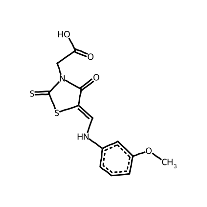 COc1cccc(NC=C2SC(=S)N(CC(=O)O)C2=O)c1